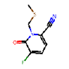 CSCn1c(C#N)ccc(F)c1=O